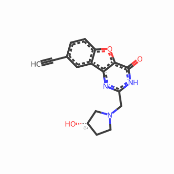 C#Cc1ccc2oc3c(=O)[nH]c(CN4CC[C@H](O)C4)nc3c2c1